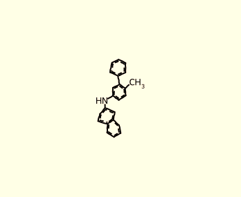 Cc1ccc(Nc2ccc3ccccc3c2)cc1-c1ccccc1